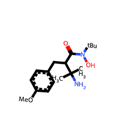 COc1ccc(CC(C(=O)N(O)C(C)(C)C)C(C)(C)N)cc1